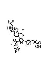 C[C@H](NS(=O)(=O)c1ccc(-c2sc(-c3cc(CC(C)(C)C(=O)O)on3)nc2C(=O)N2CC(F)(F)C[C@@H]2C)c(C(F)F)c1F)C(F)(F)F